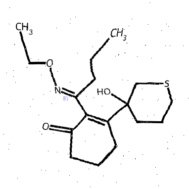 CCC/C(=N\OCC)C1=C(C2(O)CCCSC2)CCCC1=O